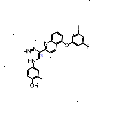 N=N/C(=C\Nc1ccc(O)c(F)c1)c1ccc2c(Oc3cc(F)cc(I)c3)cccc2n1